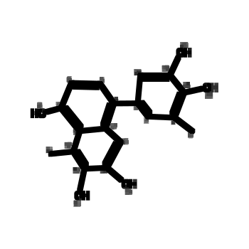 Cc1cc(-c2ccc(O)c3c(C)c(O)c(O)cc23)cc(O)c1O